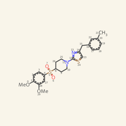 COc1ccc(S(=O)(=O)C2CCN(c3nc(Cc4cccc(C)c4)cs3)CC2)cc1OC